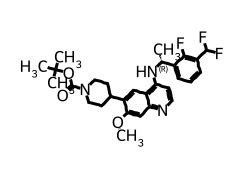 COc1cc2nccc(N[C@H](C)c3cccc(C(F)F)c3F)c2cc1C1CCN(C(=O)OC(C)(C)C)CC1